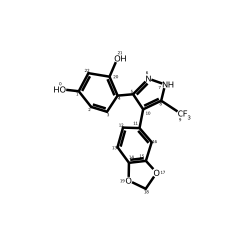 Oc1ccc(-c2n[nH]c(C(F)(F)F)c2-c2ccc3c(c2)OCO3)c(O)c1